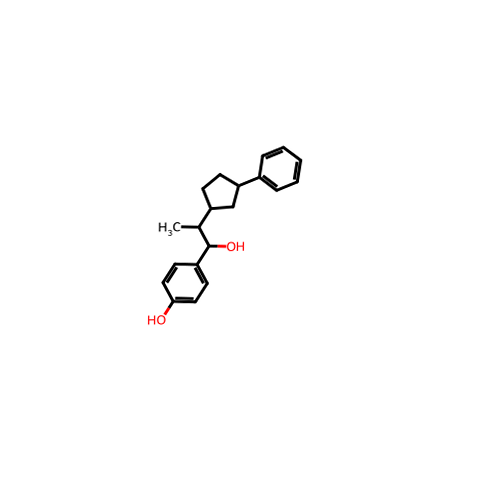 CC(C1CCC(c2ccccc2)C1)C(O)c1ccc(O)cc1